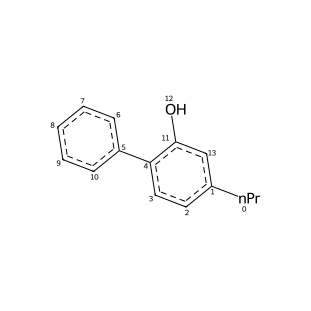 CCCc1ccc(-c2ccccc2)c(O)c1